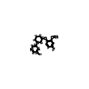 CCOc1cc(F)ccc1OC1CCCN(c2cncc(C)n2)C1